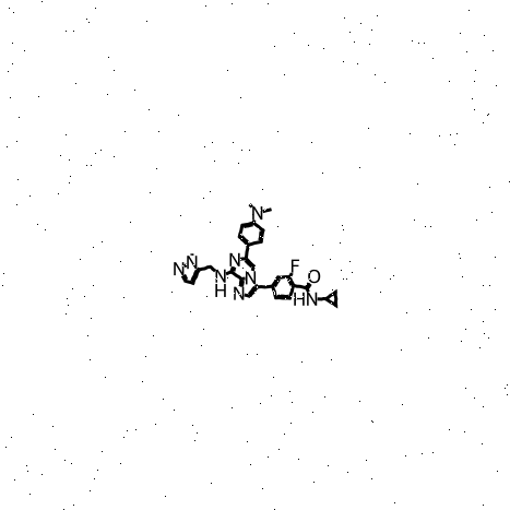 CN(C)c1ccc(-c2cn3c(-c4ccc(C(=O)NC5CC5)c(F)c4)cnc3c(NCc3ccnn3C)n2)cc1